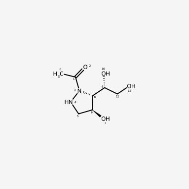 CC(=O)N1NC[C@H](O)[C@H]1[C@H](O)CO